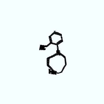 N#Cc1c[c]ccc1N1CCCNCC1